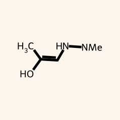 CNN/C=C(\C)O